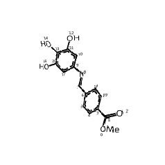 COC(=O)c1ccc(C=Nc2cc(O)c(O)c(O)c2)cc1